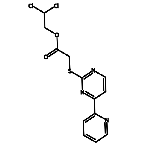 O=C(CSc1nccc(-c2ccccn2)n1)OCC(Cl)Cl